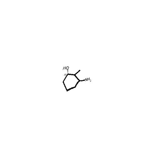 CC1C(N)CCC[C@@H]1O